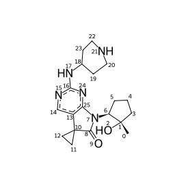 C[C@]1(O)CCC[C@@H]1N1C(=O)C2(CC2)c2cnc(NC3CCNCC3)nc21